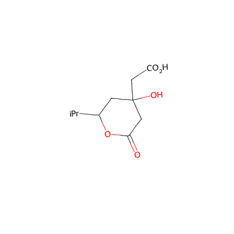 CC(C)C1CC(O)(CC(=O)O)CC(=O)O1